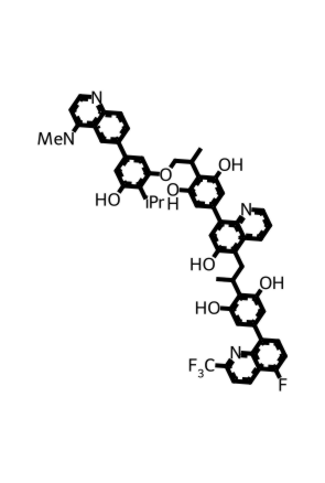 CNc1ccnc2ccc(-c3cc(O)c(C(C)C)c(OCC(C)c4c(O)cc(-c5cc(O)c(CC(C)c6c(O)cc(-c7ccc(F)c8ccc(C(F)(F)F)nc78)cc6O)c6cccnc56)cc4O)c3)cc12